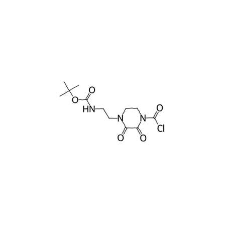 CC(C)(C)OC(=O)NCCN1CCN(C(=O)Cl)C(=O)C1=O